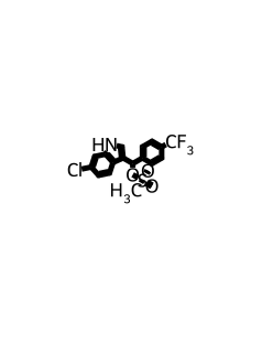 CS(=O)(=O)OC(c1ccc(C(F)(F)F)cc1)c1c[nH]c2cc(Cl)ccc12